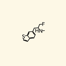 CNC(CF)Cc1ccc2ccsc2c1